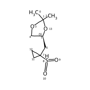 CC1(C)OC[C@H](CC2([SH](=O)=O)CC2)O1